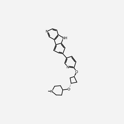 CN1CCC(O[C@H]2C[C@H](Oc3ccc(-c4ccc5c(c4)[nH]c4ccncc45)cn3)C2)CC1